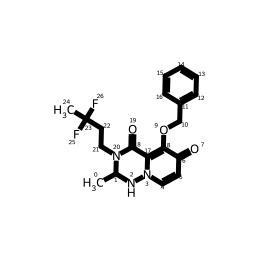 CC1Nn2ccc(=O)c(OCc3ccccc3)c2C(=O)N1CCC(C)(F)F